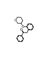 O=C(Cc1ccccc1OC1CCCOC1)c1ccccc1